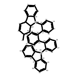 CC1C=CC2c3ccccc3N(c3ccccc3-c3ccccc3-c3ccccc3-n3c4ccccc4c4ccccc43)C2C1